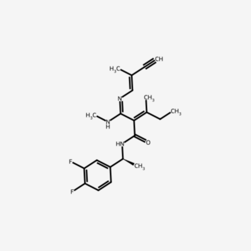 C#C/C(C)=C/N=C(NC)\C(C(=O)N[C@@H](C)c1ccc(F)c(F)c1)=C(/C)CC